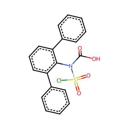 O=C(O)N(c1c(-c2ccccc2)cccc1-c1ccccc1)S(=O)(=O)Cl